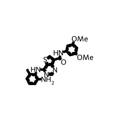 COc1cc(NC(=O)c2csc3c(Nc4c(C)cccc4N)ncnc23)cc(OC)c1